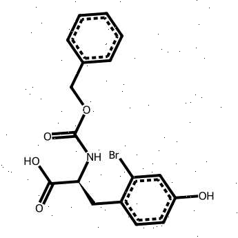 O=C(N[C@@H](Cc1ccc(O)cc1Br)C(=O)O)OCc1ccccc1